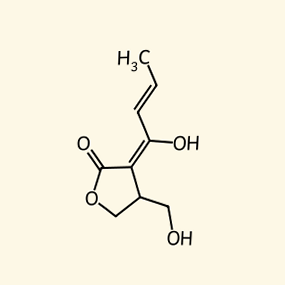 C/C=C/C(O)=C1\C(=O)OCC1CO